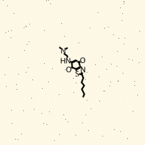 CCCCCCc1nc2c(s1)C(=O)C(NCCN(C)C)=CC2=O